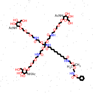 CC(=O)NC1C(OCCOCCOCCNC(=O)CCOCC(COCCC(=O)NCCOCCOCCOC2OC(CO)C(O)C(O)C2NC(C)=O)(COCCC(=O)NCCOCCOCCOC2OC(CO)C(O)C(O)C2NC(C)=O)NC(=O)CCCCCCCCCCC(=O)NCCOC(C)(C)OCCNC(=O)OCc2ccccc2)OC(CO)C(O)C1O